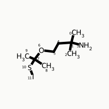 CC(C)(N)CCOC(C)(C)SI